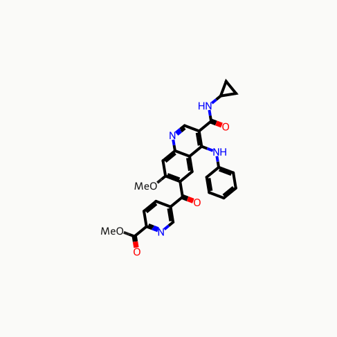 COC(=O)c1ccc(C(=O)c2cc3c(Nc4ccccc4)c(C(=O)NC4CC4)cnc3cc2OC)cn1